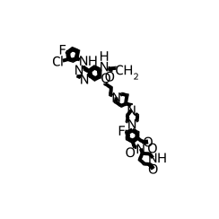 C=CC(=O)Nc1cc2c(Nc3ccc(F)c(Cl)c3)ncnc2cc1OCCCN1CCC(CN2CCN(c3cc4c(cc3F)C(=O)N(C3CCC(=O)NC3=O)C4=O)CC2)CC1